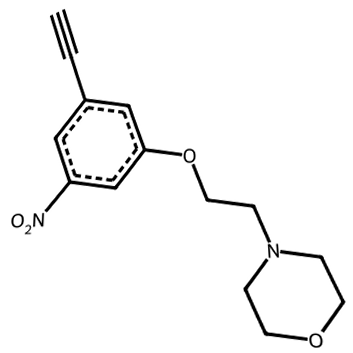 C#Cc1cc(OCCN2CCOCC2)cc([N+](=O)[O-])c1